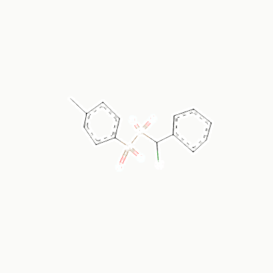 Cc1ccc(S(=O)(=O)S(=O)(=O)[C](Cl)c2ccccc2)cc1